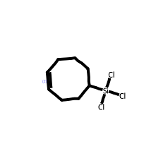 Cl[Si](Cl)(Cl)C1CC/C=C\CCC1